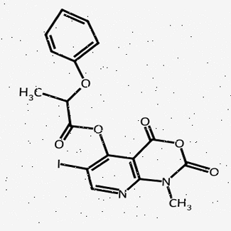 CC(Oc1ccccc1)C(=O)Oc1c(I)cnc2c1c(=O)oc(=O)n2C